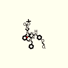 COCCOc1ccc(Nc2nc(N(Cc3ccccc3)Cc3ccccc3)c3ncn(C4CN(C(=O)OC(C)(C)C)C4)c3n2)cc1